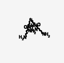 CN(CCCNC(=O)[C@@H](N)CCCCN)CCCNC(=O)[C@@H](N)CCCCN